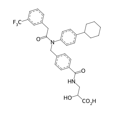 O=C(NCC(O)C(=O)O)c1ccc(CN(C(=O)Cc2cccc(C(F)(F)F)c2)c2ccc(C3CCCCC3)cc2)cc1